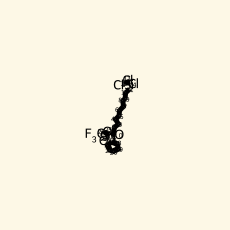 O=C(CCCCCCCCCC[Si](Cl)(Cl)Cl)N(c1ccccc1)S(=O)(=O)C(F)(F)F